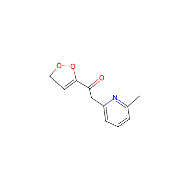 Cc1cccc(CC(=O)C2=CCOO2)n1